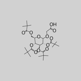 CC(C)(C)C(=O)OC[C@H]1OC(OCC(=O)O)[C@H](OC(=O)C(C)(C)C)[C@@H](OC(=O)C(C)(C)C)[C@@H]1OC(=O)C(C)(C)C